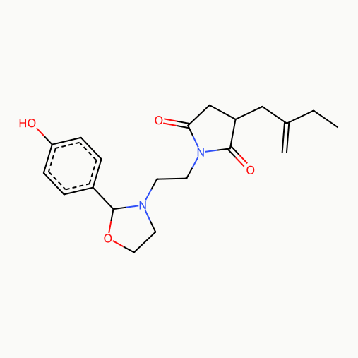 C=C(CC)CC1CC(=O)N(CCN2CCOC2c2ccc(O)cc2)C1=O